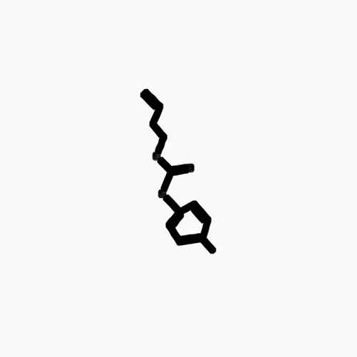 C=CCCOC(=O)Oc1ccc(C)cc1